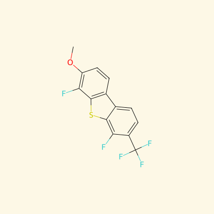 COc1ccc2c(sc3c(F)c(C(F)(F)F)ccc32)c1F